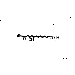 CCCCC1OC1CC(O)C=CCCCCCCCC(=O)O